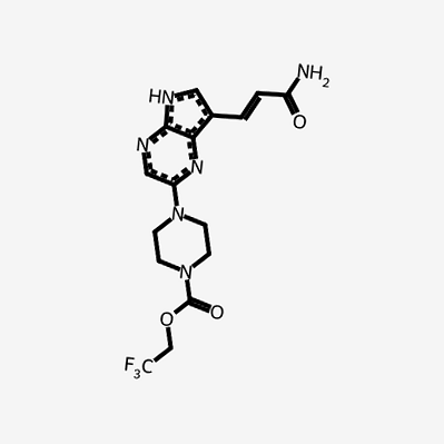 NC(=O)/C=C/c1c[nH]c2ncc(N3CCN(C(=O)OCC(F)(F)F)CC3)nc12